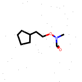 CN(C=O)OCCC1CCCC1